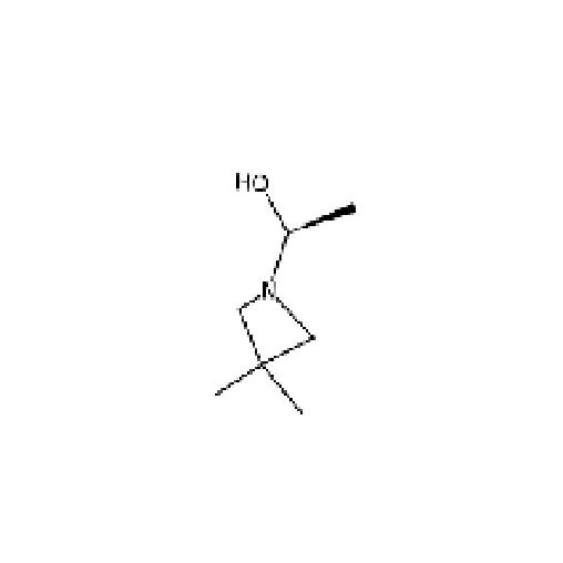 C[C@H](O)N1CC(C)(C)C1